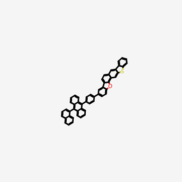 c1ccc2c(-c3c4ccccc4c(-c4ccc(-c5ccc6oc7c8cc9sc%10ccccc%10c9cc8ccc7c6c5)cc4)c4ccccc34)cccc2c1